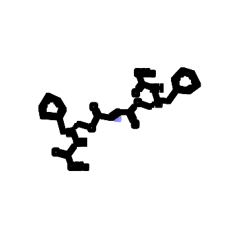 COC(=O)N[C@@H](COC(=O)/C=C/C(=O)OC[C@@H](Cc1ccccc1)NC(=O)OC)Cc1ccccc1